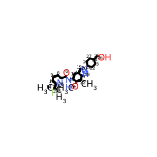 COc1c(NC(=O)c2cccc(C(C)(C)F)n2)cc2cn(C3CCC(CO)CC3)nc2c1C